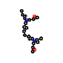 CC1(C)c2cc(-c3ccccc3)ccc2-c2ccc(N(c3ccc(-c4ccc5c(c4)oc4ccccc45)cc3)c3ccc(-c4ccc5c6c(cccc46)-c4cc(-c6cccc(-c7ccc8c(c7)C(C)(C)c7cc(N(c9ccc(-c%10ccc%11c(c%10)oc%10ccccc%10%11)cc9)c9ccc(-c%10ccccc%10)c%10ccccc9%10)ccc7-8)c6)ccc4-5)cc3)cc21